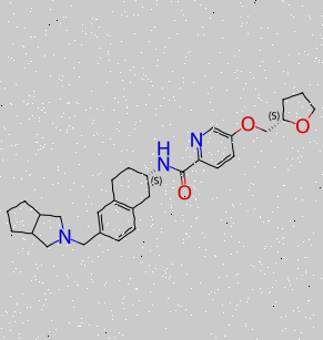 O=C(N[C@H]1CCc2cc(CN3CC4CCCC4C3)ccc2C1)c1ccc(OC[C@@H]2CCCO2)cn1